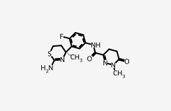 CN1N=C(C(=O)Nc2ccc(F)c([C@]3(C)CCSC(N)=N3)c2)CCC1=O